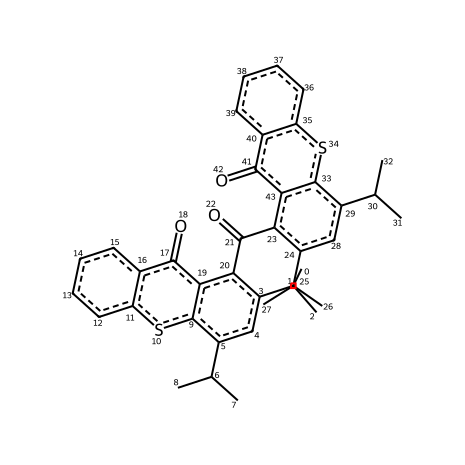 CC(C)c1cc(C(C)C)c2sc3ccccc3c(=O)c2c1C(=O)c1c(C(C)C)cc(C(C)C)c2sc3ccccc3c(=O)c12